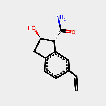 C=Cc1ccc2c(c1)[C@@H](C(N)=O)[C@H](O)C2